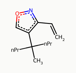 C=Cc1nocc1C(C)(CCC)CCC